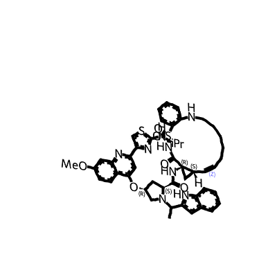 COc1ccc2c(O[C@@H]3C[C@@H](C(=O)N[C@]45C[C@H]4/C=C\CCCCCNc4ccccc4S(=O)(=O)NC5=O)N(C(C)c4cc5ccccc5[nH]4)C3)cc(-c3csc(NC(C)C)n3)nc2c1